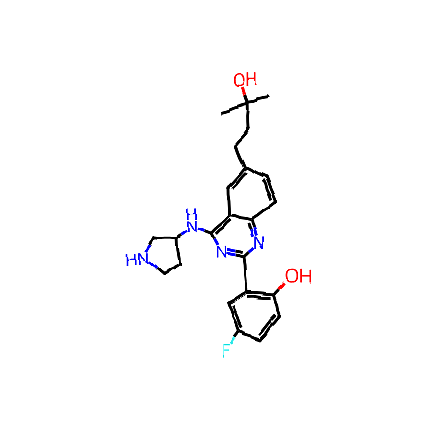 CC(C)(O)CCc1ccc2nc(-c3cc(F)ccc3O)nc(NC3CCNC3)c2c1